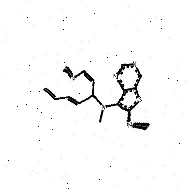 C=CC=CC(/C=C\N=C)N(C)c1c(N=C)sc2cncnc12